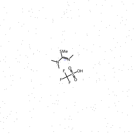 C/N=C(\SC)N(C)C.O=S(=O)(O)C(F)(F)F